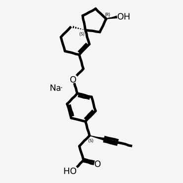 CC#C[C@@H](CC(=O)O)c1ccc(OCC2=C[C@@]3(CCC2)CC[C@@H](O)C3)cc1.[Na]